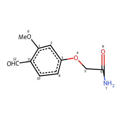 COc1cc(OCC(N)=O)ccc1C=O